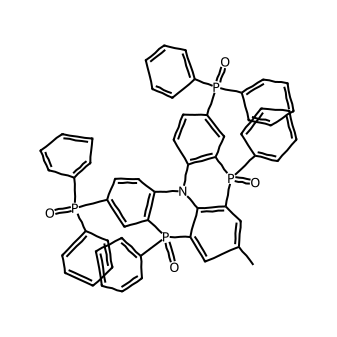 Cc1cc2c3c(c1)P(=O)(c1ccccc1)c1cc(P(=O)(c4ccccc4)c4ccccc4)ccc1N3c1ccc(P(=O)(c3ccccc3)c3ccccc3)cc1P2(=O)c1ccccc1